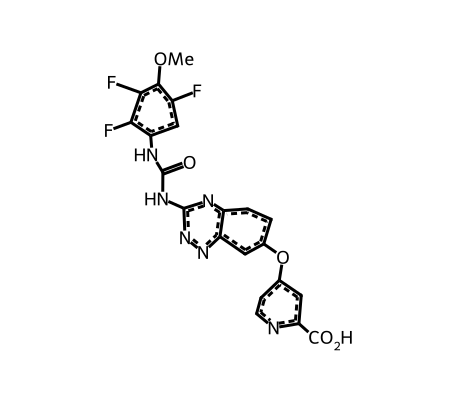 COc1c(F)cc(NC(=O)Nc2nnc3cc(Oc4ccnc(C(=O)O)c4)ccc3n2)c(F)c1F